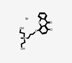 C[N+](CCO)(CCO)CCCOc1ccc(Cl)c2c(=O)c3ccccc3sc12.[Br-]